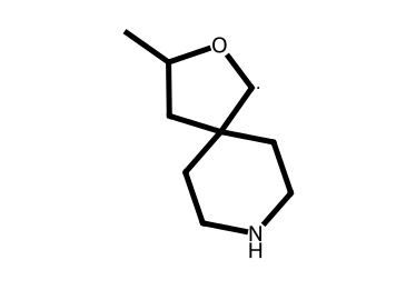 CC1CC2([CH]O1)CCNCC2